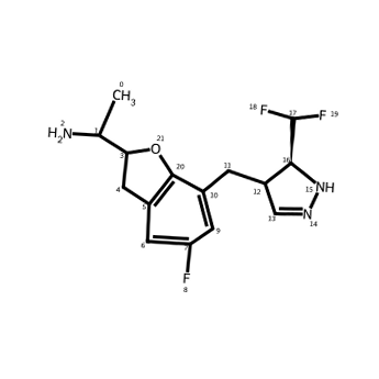 CC(N)C1Cc2cc(F)cc(CC3C=NN[C@@H]3C(F)F)c2O1